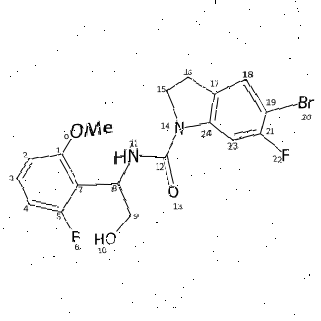 COc1cccc(F)c1C(CO)NC(=O)N1CCc2cc(Br)c(F)cc21